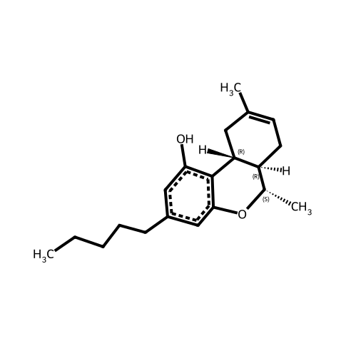 CCCCCc1cc(O)c2c(c1)O[C@@H](C)[C@@H]1CC=C(C)C[C@@H]21